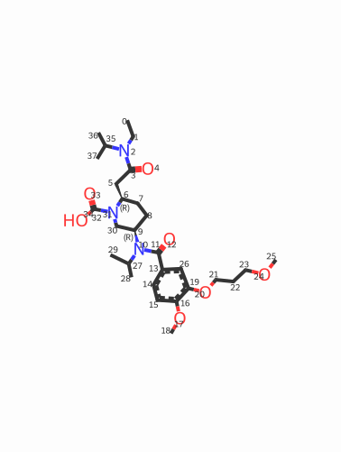 CCN(C(=O)C[C@H]1CC[C@@H](N(C(=O)c2ccc(OC)c(OCCCOC)c2)C(C)C)CN1C(=O)O)C(C)C